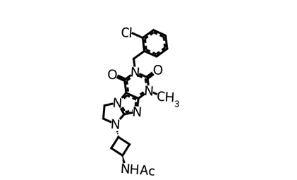 CC(=O)N[C@H]1C[C@H](N2CCn3c2nc2c3c(=O)n(Cc3ccccc3Cl)c(=O)n2C)C1